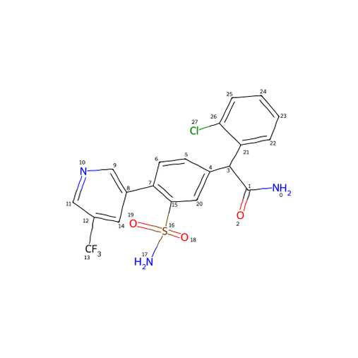 NC(=O)C(c1ccc(-c2cncc(C(F)(F)F)c2)c(S(N)(=O)=O)c1)c1ccccc1Cl